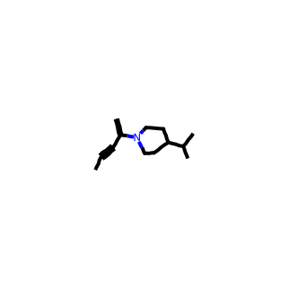 C=C(C#CC)N1CCC(C(C)C)CC1